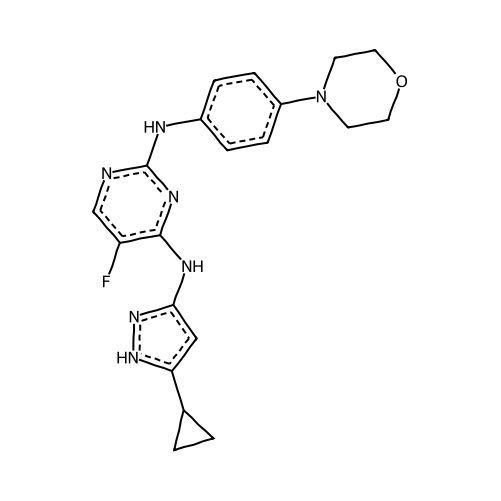 Fc1cnc(Nc2ccc(N3CCOCC3)cc2)nc1Nc1cc(C2CC2)[nH]n1